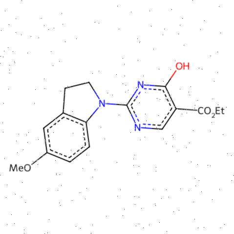 CCOC(=O)c1cnc(N2CCc3cc(OC)ccc32)nc1O